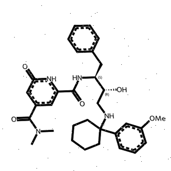 COc1cccc(C2(NC[C@@H](O)[C@H](Cc3ccccc3)NC(=O)c3cc(C(=O)N(C)C)cc(=O)[nH]3)CCCCC2)c1